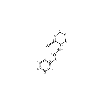 O=C1CCCCC1NOCc1ccccc1